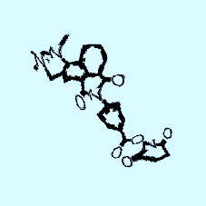 CN1C[N+](C)(C)Cc2cc3c4c(cccc4c21)C(=O)N(c1ccc(C(=O)ON2C(=O)CCC2=O)cc1)C3=O